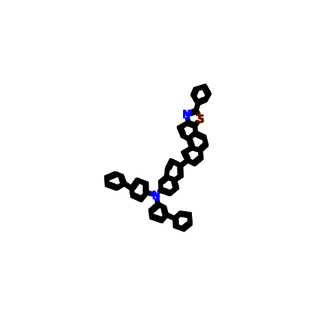 c1ccc(-c2ccc(N(c3cccc(-c4ccccc4)c3)c3ccc4cc(-c5ccc6ccc7c(ccc8nc(-c9ccccc9)sc87)c6c5)ccc4c3)cc2)cc1